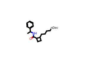 CCCCCCCCCCCCCCC1CCC1C(=O)NC(C)c1ccccc1